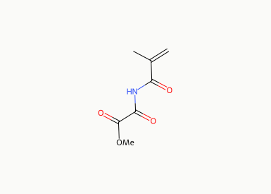 C=C(C)C(=O)NC(=O)C(=O)OC